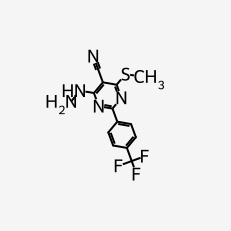 CSc1nc(-c2ccc(C(F)(F)F)cc2)nc(NN)c1C#N